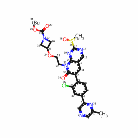 Cc1cncc(-c2ccc(-c3cc4cnc([S+](C)[O-])nc4n(CCOC4CN(C(=O)OC(C)(C)C)C4)c3=O)c(Cl)c2)n1